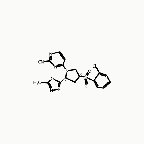 [C-]#[N+]c1nccc(N2C[C@@H](S(=O)(=O)c3ccccc3Cl)C[C@@H]2c2nnc(C)o2)n1